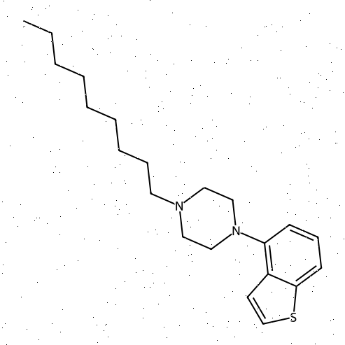 CCCCCCCCCN1CCN(c2cccc3sccc23)CC1